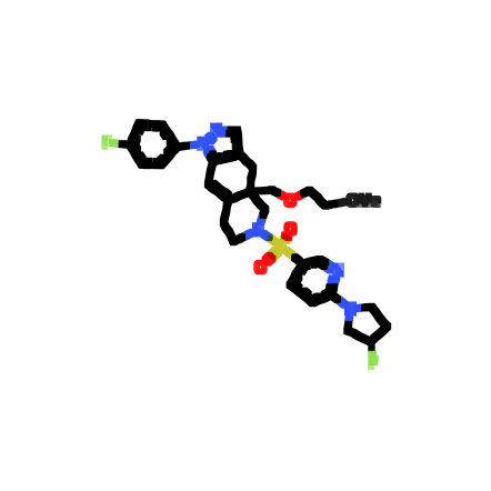 COCCOCC12Cc3cnn(-c4ccc(F)cc4)c3C=C1CCN(S(=O)(=O)c1ccc(N3CC[C@@H](F)C3)nc1)C2